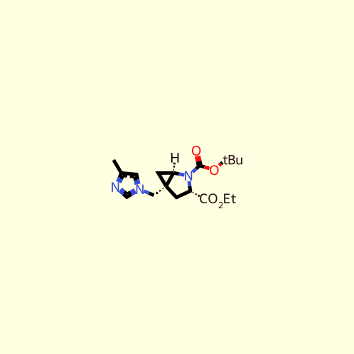 CCOC(=O)[C@@H]1C[C@@]2(Cn3cnc(C)c3)C[C@H]2N1C(=O)OC(C)(C)C